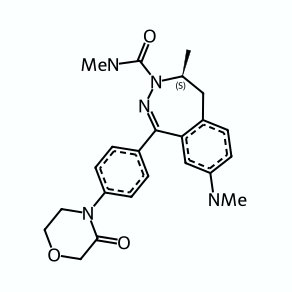 CNC(=O)N1N=C(c2ccc(N3CCOCC3=O)cc2)c2cc(NC)ccc2C[C@@H]1C